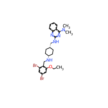 CCOc1cc(Br)cc(Br)c1CN[C@H]1CC[C@@H](CNc2nc(N(C)C)c3ccccc3n2)CC1